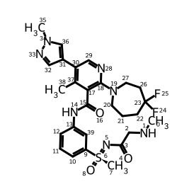 CNCC(=O)N=[S@](C)(=O)c1cccc(NC(=O)c2c(N3CCCC(F)(F)CC3)ncc(-c3cnn(C)c3)c2C)c1